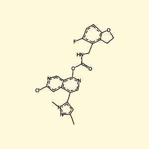 Cc1cc(-c2cnc(OC(=O)NCc3c(F)ccc4c3CCO4)c3cnc(Cl)cc23)n(C)n1